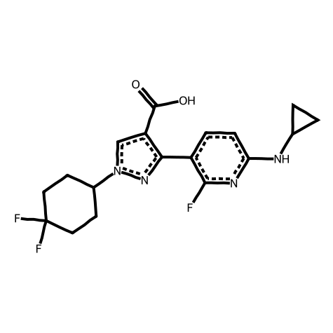 O=C(O)c1cn(C2CCC(F)(F)CC2)nc1-c1ccc(NC2CC2)nc1F